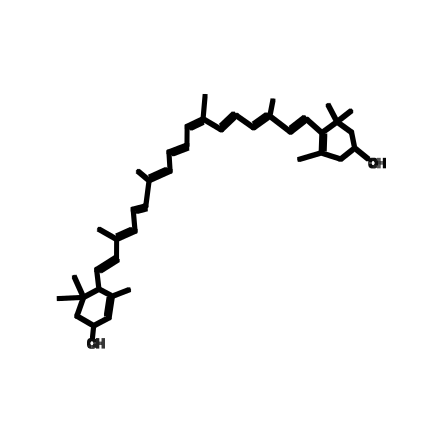 CC1=CC(O)CC(C)(C)C1/C=C/C(C)=C/C=C/C(C)=C/C=C/C=C(C)\C=C\C=C(C)\C=C\C1=C(C)CC(O)CC1(C)C